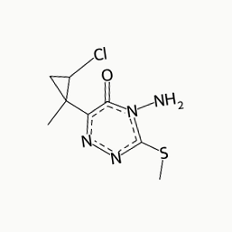 CSc1nnc(C2(C)CC2Cl)c(=O)n1N